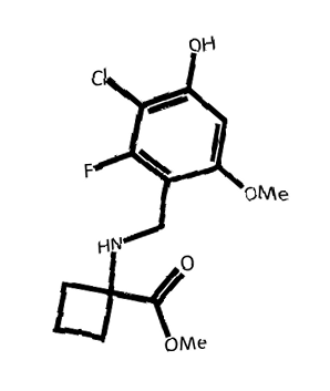 COC(=O)C1(NCc2c(OC)cc(O)c(Cl)c2F)CCC1